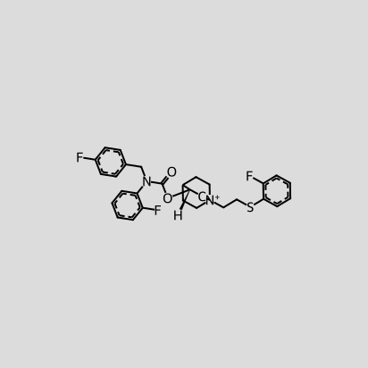 O=C(O[C@H]1C[N+]2(CCSc3ccccc3F)CCC1CC2)N(Cc1ccc(F)cc1)c1ccccc1F